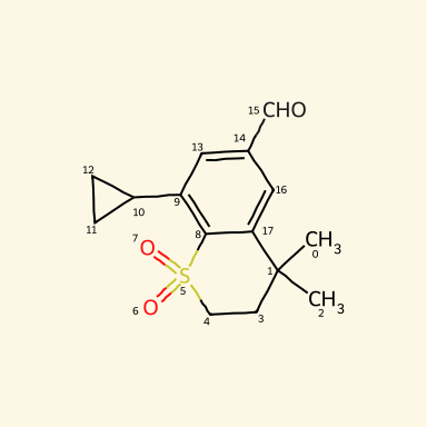 CC1(C)CCS(=O)(=O)c2c(C3CC3)cc(C=O)cc21